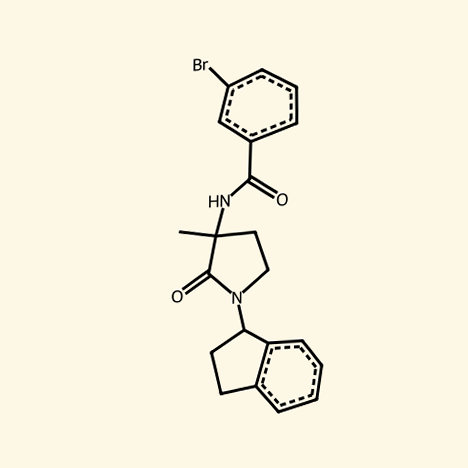 CC1(NC(=O)c2cccc(Br)c2)CCN(C2CCc3ccccc32)C1=O